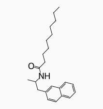 CCCCCCCCCC(=O)NC(C)Cc1ccc2ccccc2c1